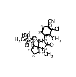 Cc1c(N2C(=O)N(C)C3(CCCC3O[Si](C)(C)C(C)(C)C)C2O)ccc(C#N)c1Cl